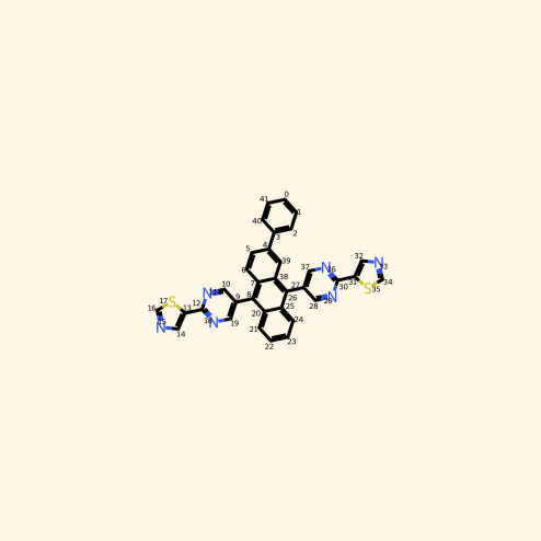 c1ccc(-c2ccc3c(-c4cnc(-c5cncs5)nc4)c4ccccc4c(-c4cnc(-c5cncs5)nc4)c3c2)cc1